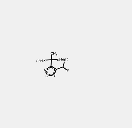 CCCCCCCC(C)(CCCCCC)c1nonc1C(F)F